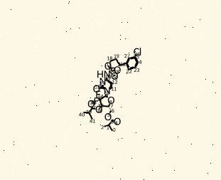 CC(C)C(=O)OC[C@H]1O[C@H](n2ccc(NP3(=O)OCCC(c4cccc(Cl)c4)O3)nc2=O)C(F)(F)[C@@H]1OC(=O)C(C)C